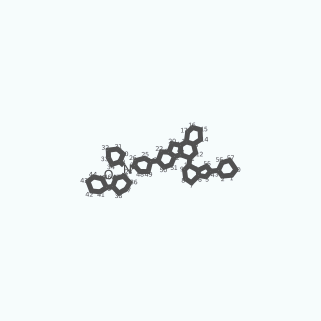 C1CCC(C2CC3CCCC(C4CC5CCCCC5C5CC6CC(C7CCC(N(C8CCCCC8)C8CCCC9C%10CCCCC%10OC98)CC7)CCC6C54)C3C2)CC1